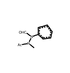 CC(=O)N(C)N(C=O)c1ccccc1